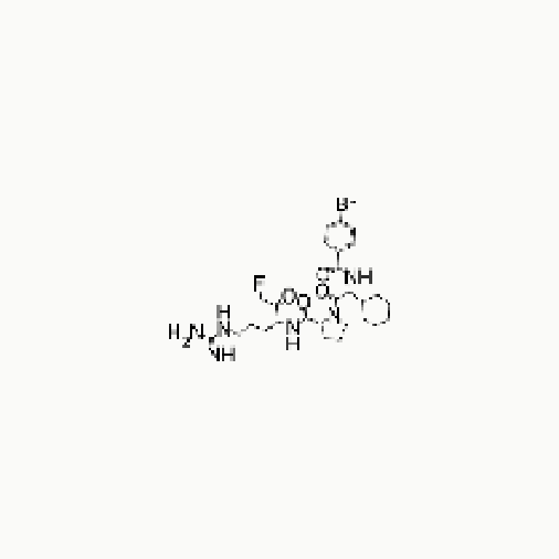 N=C(N)NCCC[C@H](NC(=O)[C@@H]1CCCN1C(=O)[C@@H](NC(=O)c1ccc(Br)cc1)C1CCCCC1)C(=O)CF